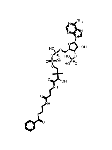 CC(C)(COP(=O)(O)OP(=O)(O)OC[C@H]1O[C@@H](n2cnc3c(N)ncnc32)[C@H](O)[C@@H]1OP(=O)(O)O)[C@@H](O)C(=O)NCCC(=O)NCCSC(=O)c1ccccc1